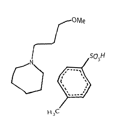 COCCCN1CCCCC1.Cc1ccc(S(=O)(=O)O)cc1